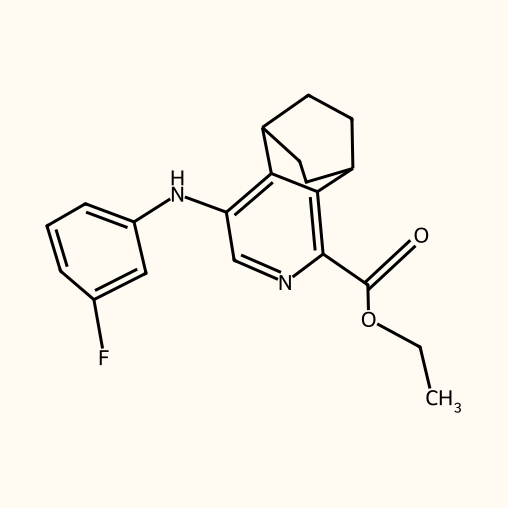 CCOC(=O)c1ncc(Nc2cccc(F)c2)c2c1C1CCC2CC1